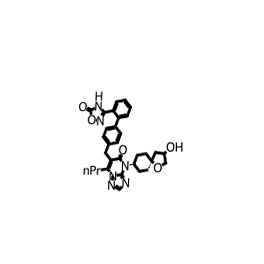 CCCc1c(Cc2ccc(-c3ccccc3-c3noc(=O)[nH]3)cc2)c(=O)n([C@H]2CC[C@]3(CC2)CC(O)CO3)c2ncnn12